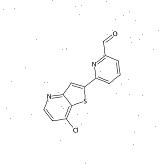 O=Cc1cccc(-c2cc3nccc(Cl)c3s2)n1